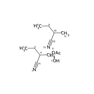 CC(=O)OO.CCC(C)C#N.CCC(C)C#N